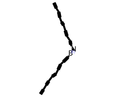 C#CC#CC#CC#CC#C/B=N/C#CC#CC#CC#CC#C